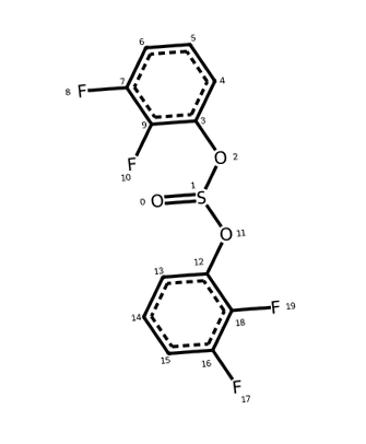 O=S(Oc1cccc(F)c1F)Oc1cccc(F)c1F